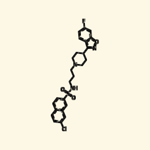 O=S(=O)(NCCCN1CCC(c2noc3cc(F)ccc23)CC1)c1ccc2ccc(Cl)cc2c1